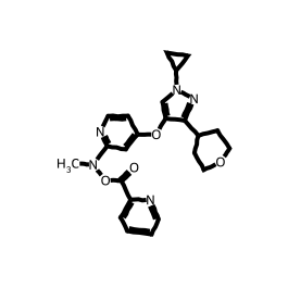 CN(OC(=O)c1ccccn1)c1cc(Oc2cn(C3CC3)nc2C2CCOCC2)ccn1